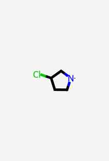 ClC1CC[N]C1